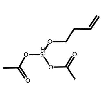 C=CCCO[SiH](OC(C)=O)OC(C)=O